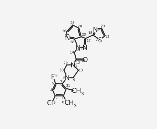 Cc1c(Cl)cc(F)c(N2CCN(C(=O)Cn3nc(-c4nccs4)c4cccnc43)CC2)c1C